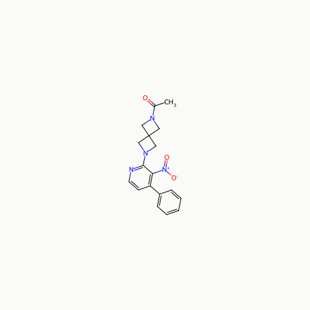 CC(=O)N1CC2(C1)CN(c1nccc(-c3ccccc3)c1[N+](=O)[O-])C2